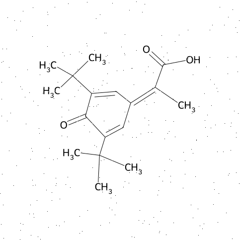 CC(C(=O)O)=C1C=C(C(C)(C)C)C(=O)C(C(C)(C)C)=C1